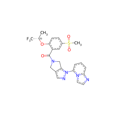 C[C@H](Oc1ccc(S(C)(=O)=O)cc1C(=O)N1Cc2cnn(-c3cccc4nccn34)c2C1)C(F)(F)F